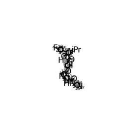 CC(C)n1cc(C(=O)Nc2ccc(Oc3ccnc4cnc(C(=O)NC5CCN(C)CC5)cc34)cn2)c(=O)c(-c2ccc(F)cc2)c1